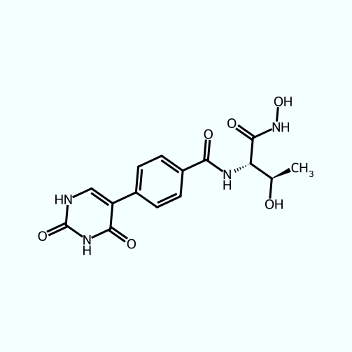 C[C@@H](O)[C@H](NC(=O)c1ccc(-c2c[nH]c(=O)[nH]c2=O)cc1)C(=O)NO